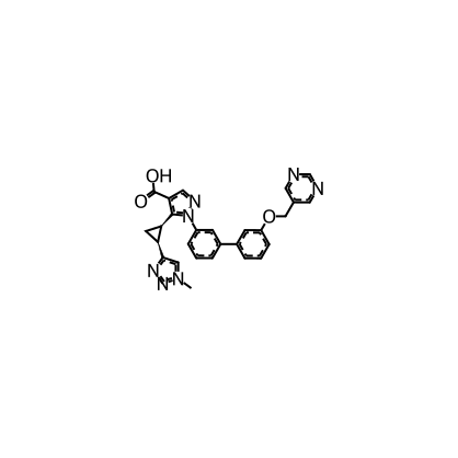 Cn1cc([C@H]2C[C@H]2c2c(C(=O)O)cnn2-c2cccc(-c3cccc(OCc4cncnc4)c3)c2)nn1